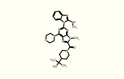 CNc1nc2ccccc2n1-c1nc(N2CCOCC2)c2nc(C(=O)N3CCC(C(C)(C)O)CC3)n(C)c2n1